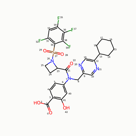 O=C(O)c1ccc(N(Cc2cnc(C3CCCCC3)cn2)C(=O)C2CCN2S(=O)(=O)c2c(F)cc(F)c(F)c2F)cc1O